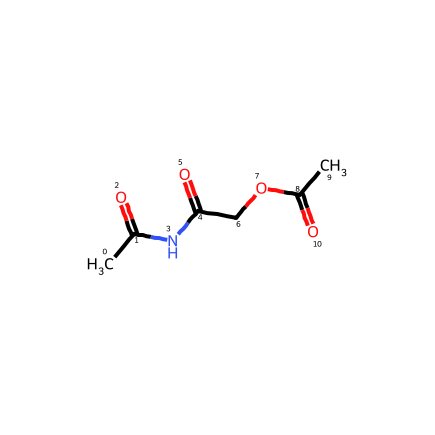 CC(=O)NC(=O)COC(C)=O